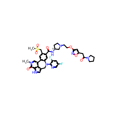 Cn1cc2c3c(c[nH]c3c1=O)CN(c1ncc(F)cc1F)c1cc(C(=O)N[C@H]3CCN(CCOc4cc(CC(=O)N5CCCC5)on4)C3)c(CS(C)(=O)=O)cc1-2